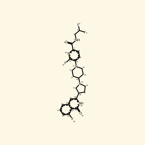 O=C(NCC(F)F)c1ccc(N2CCC(N3CCC(c4cc5cccc(F)c5c(=O)[nH]4)C3)CC2)c(F)n1